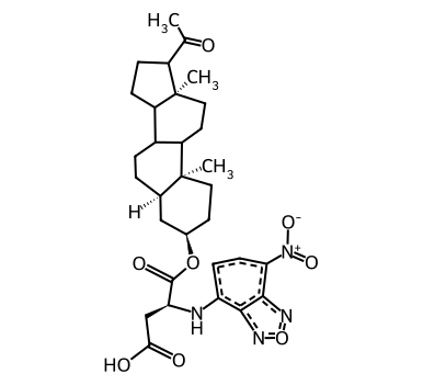 CC(=O)C1CCC2C3CC[C@@H]4C[C@H](OC(=O)[C@H](CC(=O)O)Nc5ccc([N+](=O)[O-])c6nonc56)CC[C@]4(C)C3CC[C@]12C